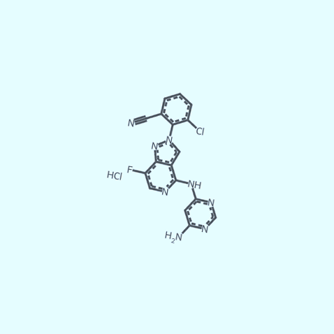 Cl.N#Cc1cccc(Cl)c1-n1cc2c(Nc3cc(N)ncn3)ncc(F)c2n1